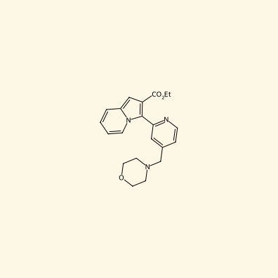 CCOC(=O)c1cc2ccccn2c1-c1cc(CN2CCOCC2)ccn1